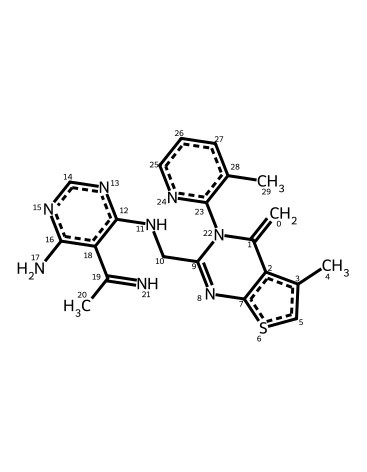 C=C1c2c(C)csc2N=C(CNc2ncnc(N)c2C(C)=N)N1c1ncccc1C